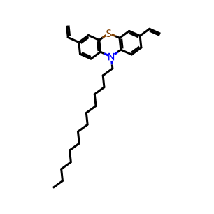 C=Cc1ccc2c(c1)Sc1cc(C=C)ccc1N2CCCCCCCCCCCCCC